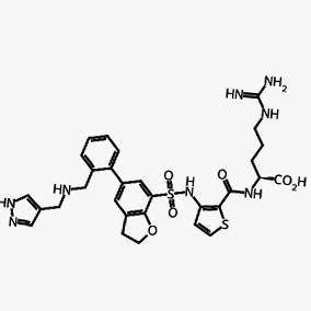 N=C(N)NCCC[C@H](NC(=O)c1sccc1NS(=O)(=O)c1cc(-c2ccccc2CNCc2cn[nH]c2)cc2c1OCC2)C(=O)O